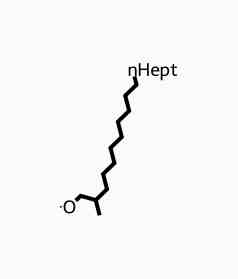 CCCCCCCCCCCCCCCCC(C)C[O]